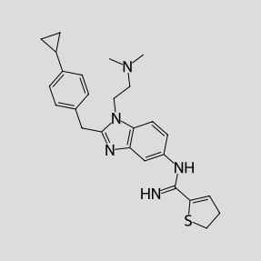 CN(C)CCn1c(Cc2ccc(C3CC3)cc2)nc2cc(NC(=N)C3=CCCS3)ccc21